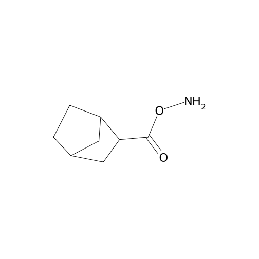 NOC(=O)C1CC2CCC1C2